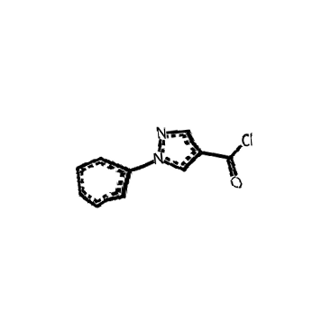 O=C(Cl)c1cnn(-c2ccccc2)c1